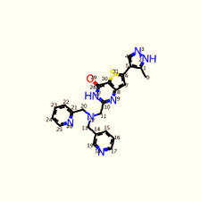 Cc1[nH]ncc1-c1cc2nc(CN(Cc3cccnc3)Cc3ccccn3)[nH]c(=O)c2s1